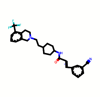 N#Cc1cccc(/C=C/C(=O)NC2CCC(CCN3CCc4c(cccc4C(F)(F)F)C3)CC2)c1